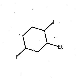 CCC1CC(I)CCC1I